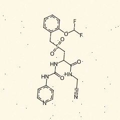 N#CCNC(=O)C(CS(=O)(=O)Cc1ccccc1OC(F)F)NC(=O)Nc1ccncc1